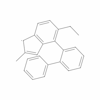 CCc1ccc2c(c1-c1ccccc1-c1ccccc1)C=C(C)[CH]2